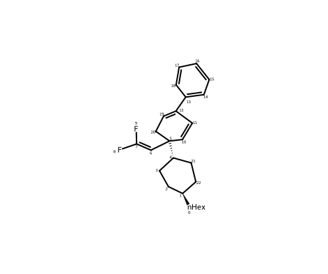 CCCCCC[C@H]1CC[C@H](C2(C=C(F)F)C=CC(c3ccccc3)=CC2)CC1